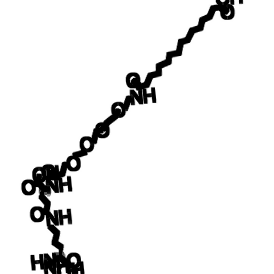 NN[C@@H](CCCCNC(=O)CC[C@H](NC(=O)CCOCCOCCOCCOCCNC(=O)CCCCCCCCCCCCCCC(=O)O)C(=O)O)C(=O)O